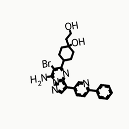 Nc1c(Br)c(C2CCC(O)(CCO)CC2)nc2c(-c3ccc(-c4ccccc4)nc3)cnn12